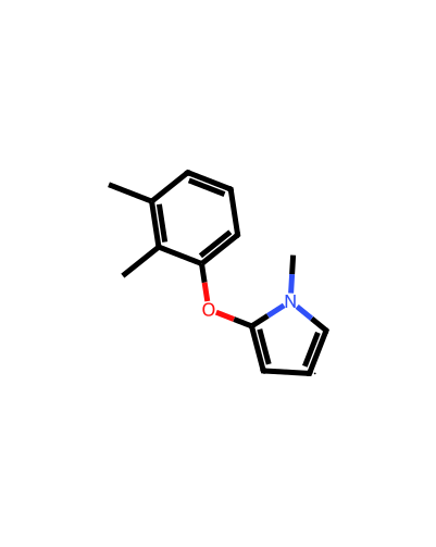 Cc1cccc(Oc2c[c]cn2C)c1C